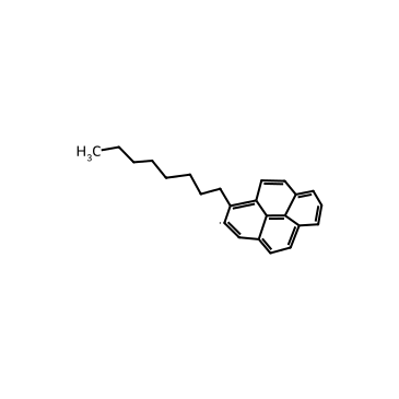 CCCCCCCCc1[c]cc2ccc3cccc4ccc1c2c34